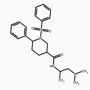 CC(CN(C)C)NC(=O)C1CCC(c2ccccc2)N(S(=O)(=O)c2ccccc2)C1